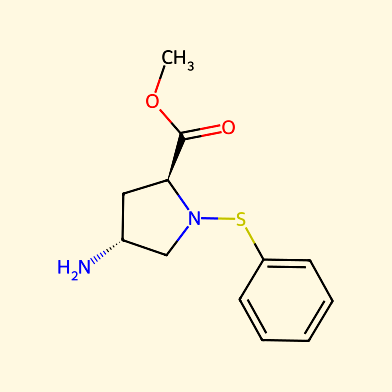 COC(=O)[C@@H]1C[C@@H](N)CN1Sc1ccccc1